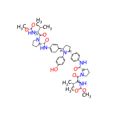 COC(=O)N[C@H](C(=O)N1CCC[C@H]1C(=O)NC1=CCC([C@H]2CC[C@H](c3ccc(NC(=O)[C@@H]4CCCN4C(=O)[C@@H](NC(=O)OC)C(C)C)cc3)N2c2ccc(O)cc2)C=C1)C(C)C